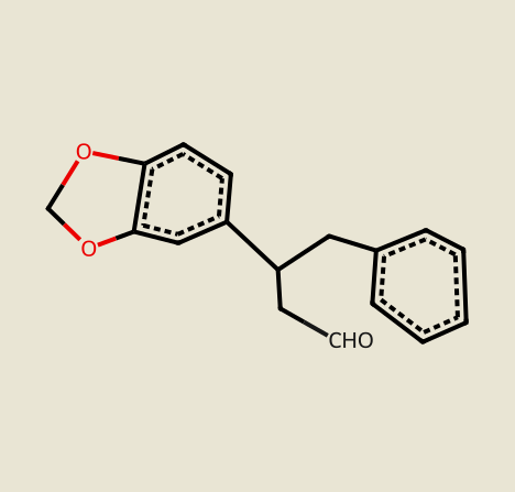 O=CCC(Cc1ccccc1)c1ccc2c(c1)OCO2